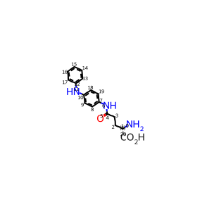 N[C@@H](CCC(=O)Nc1ccc(Nc2ccccc2)cc1)C(=O)O